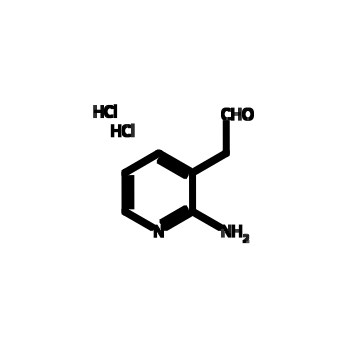 Cl.Cl.Nc1ncccc1CC=O